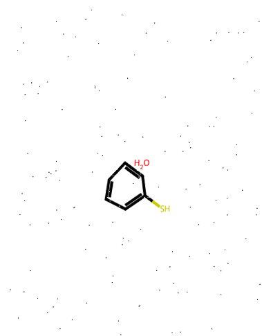 O.Sc1ccccc1